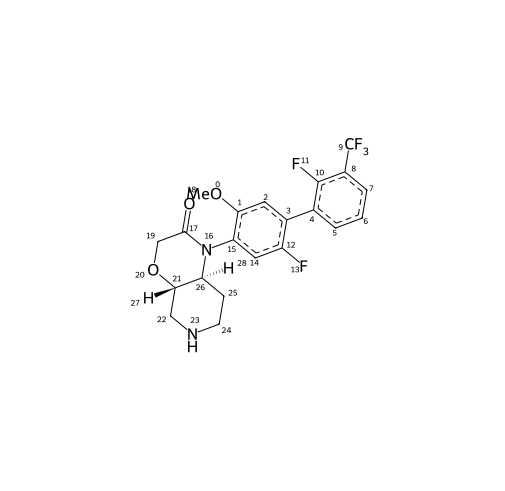 COc1cc(-c2cccc(C(F)(F)F)c2F)c(F)cc1N1C(=O)CO[C@H]2CNCC[C@@H]21